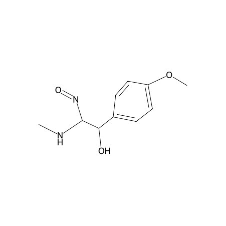 CNC(N=O)C(O)c1ccc(OC)cc1